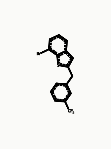 FC(F)(F)c1cccc(Cc2cc3cccc(Br)c3s2)c1